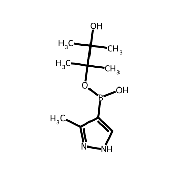 Cc1n[nH]cc1B(O)OC(C)(C)C(C)(C)O